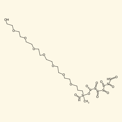 C[Si](CCCOCCOCCOCCOCCOCCOCCOCCO)(O[Si](=O)[Si](=O)[Si](=O)[Si](=O)[Si](=O)[Si](=O)[SiH]=O)[SiH]=O